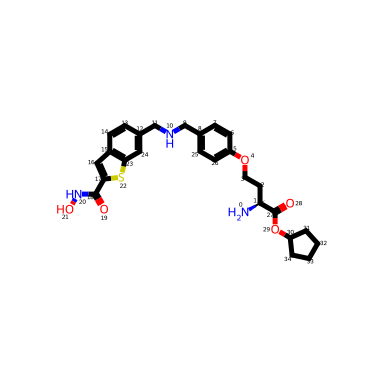 N[C@@H](CCOc1ccc(CNCc2ccc3cc(C(=O)NO)sc3c2)cc1)C(=O)OC1CCCC1